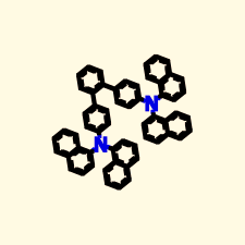 c1ccc(-c2ccc(N(c3cccc4ccccc34)c3cccc4ccccc34)cc2)c(-c2ccc(N(c3cccc4ccccc34)c3cccc4ccccc34)cc2)c1